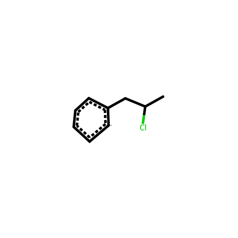 CC(Cl)Cc1[c]cccc1